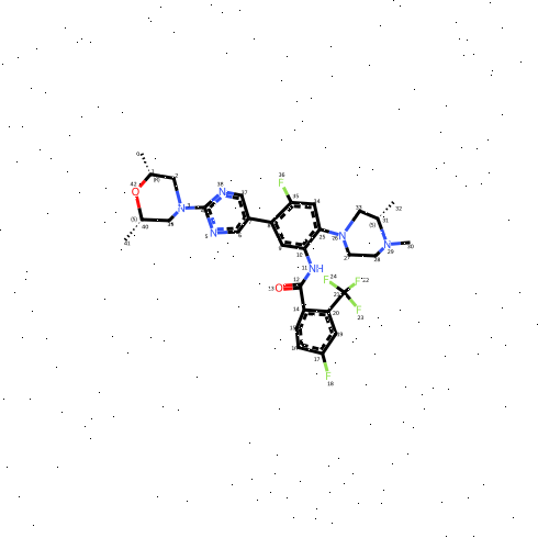 C[C@@H]1CN(c2ncc(-c3cc(NC(=O)c4ccc(F)cc4C(F)(F)F)c(N4CCN(C)[C@@H](C)C4)cc3F)cn2)C[C@H](C)O1